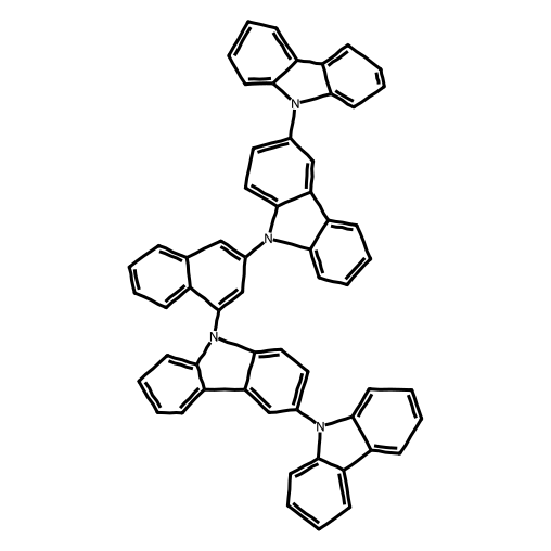 c1ccc2c(-n3c4ccccc4c4cc(-n5c6ccccc6c6ccccc65)ccc43)cc(-n3c4ccccc4c4cc(-n5c6ccccc6c6ccccc65)ccc43)cc2c1